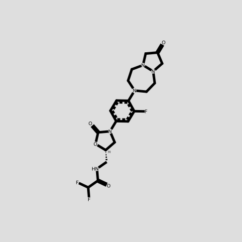 O=C1CN2CCN(c3ccc(N4C[C@H](CNC(=O)C(F)F)OC4=O)cc3F)CCN2C1